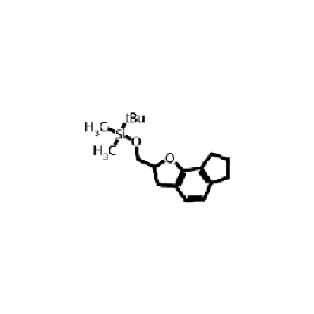 CC(C)(C)[Si](C)(C)OCC1Cc2ccc3c(c2O1)CCC3